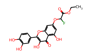 CCOC(=O)C(F)Oc1cc(O)c2c(=O)c(O)c(-c3ccc(O)c(O)c3)oc2c1